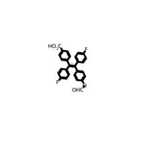 O=COc1ccc(/C(=C(\c2ccc(F)cc2)c2ccc(C(=O)O)cc2)c2ccc(F)cc2)cc1